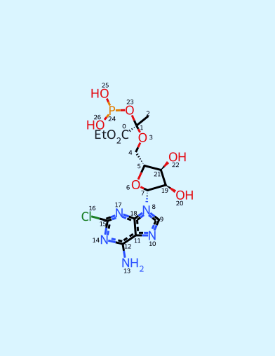 CCOC(=O)[C@](C)(OC[C@H]1O[C@@H](n2cnc3c(N)nc(Cl)nc32)[C@H](O)[C@@H]1O)OP(O)O